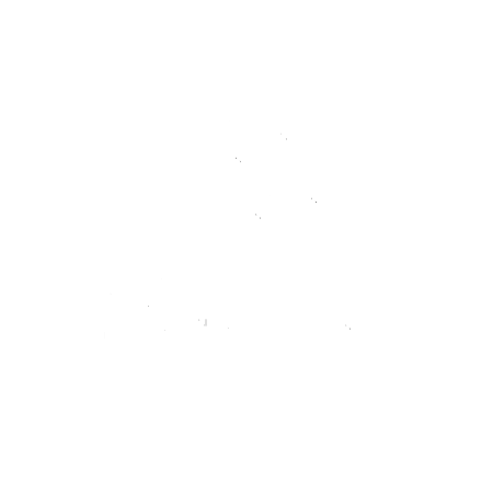 CCOc1cc(Nc2nc(-c3ccc4c(c3)NC(=O)C4(C)C)cn3ccnc23)ccc1N1CCOCC1